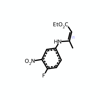 CCOC(=O)/C=C(/C)Nc1ccc(F)c([N+](=O)[O-])c1